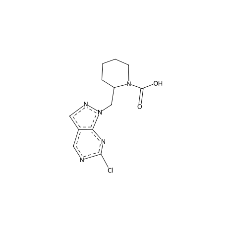 O=C(O)N1CCCCC1Cn1ncc2cnc(Cl)nc21